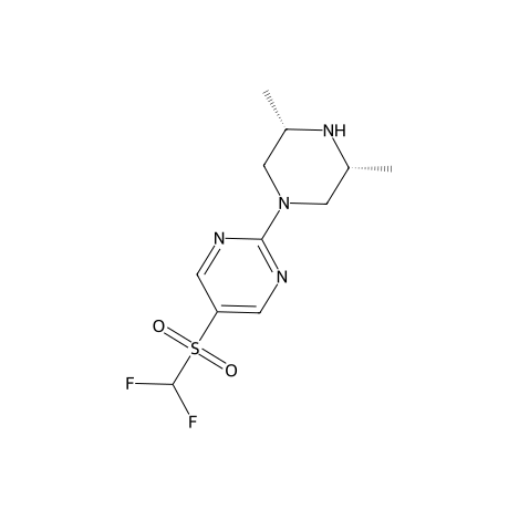 C[C@@H]1CN(c2ncc(S(=O)(=O)C(F)F)cn2)C[C@H](C)N1